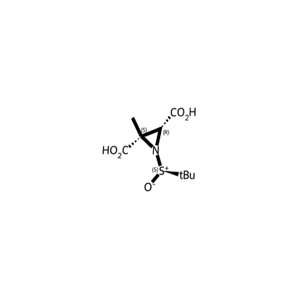 CC(C)(C)[S@@+]([O-])N1[C@@H](C(=O)O)[C@@]1(C)C(=O)O